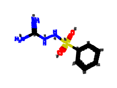 N=C(N)NNS(=O)(=O)c1ccccc1